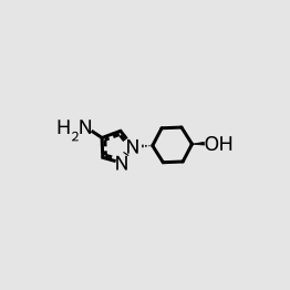 Nc1cnn([C@H]2CC[C@H](O)CC2)c1